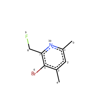 Cc1cc(C)c(Br)c(CF)n1